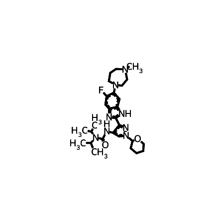 CC(C)N(C(=O)Nc1cn(C2CCCCO2)nc1-c1nc2cc(F)c(N3CCCN(C)CC3)cc2[nH]1)C(C)C